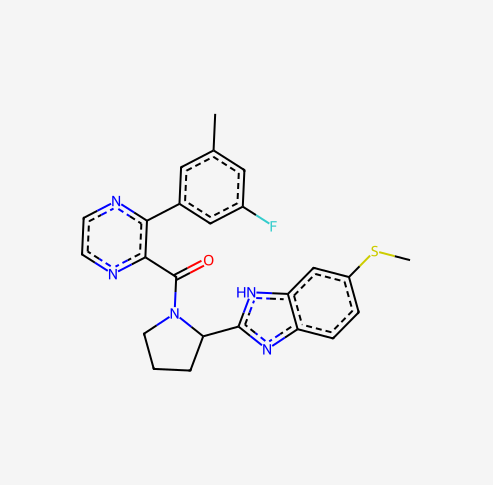 CSc1ccc2nc(C3CCCN3C(=O)c3nccnc3-c3cc(C)cc(F)c3)[nH]c2c1